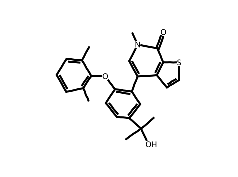 Cc1cccc(C)c1Oc1ccc(C(C)(C)O)cc1-c1cn(C)c(=O)c2sccc12